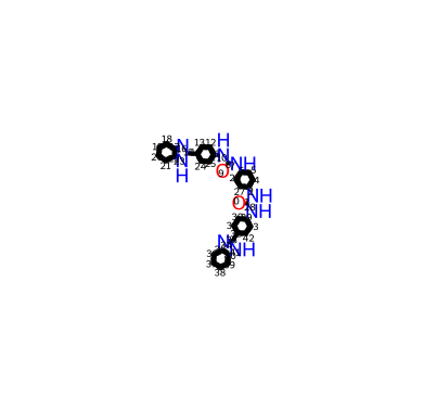 O=C(Nc1ccc(NC(=O)Nc2ccc(-c3nc4ccccc4[nH]3)cc2)cc1)Nc1ccc(-c2nc3ccccc3[nH]2)cc1